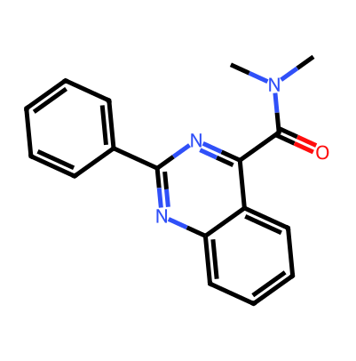 CN(C)C(=O)c1nc(-c2ccccc2)nc2ccccc12